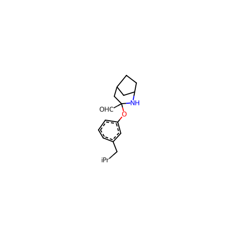 CC(C)Cc1cccc(OC2(C=O)CC3CCC(C3)N2)c1